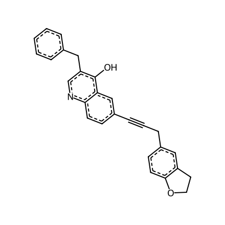 Oc1c(Cc2ccccc2)cnc2ccc(C#CCc3ccc4c(c3)CCO4)cc12